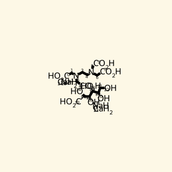 O=C(O)CN(CCN(CC(=O)O)CC(=O)O)CC(=O)O.O=C(O)[C@H](O)[C@@H](O)[C@H](O)[C@H](O)CO.[CaH2].[CaH2].[NaH].[NaH]